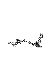 COc1cc(N2C(=O)C(C)(C)N(c3ccc(OCCCCCOCCCOCC(=O)NC(C(=O)N4CCC[C@H]4C(=O)NCc4ccc(-c5scnc5C)cc4)C(C)(C)C)cc3)C2=S)ccc1C#N